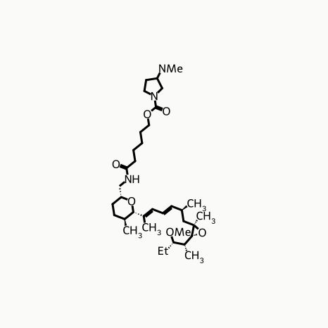 CC[C@H](OC)[C@@H](C)[C@H]1O[C@]1(C)C[C@H](C)/C=C/C=C(\C)[C@H]1O[C@@H](CNC(=O)CCCCCOC(=O)N2CCC(NC)C2)CC[C@@H]1C